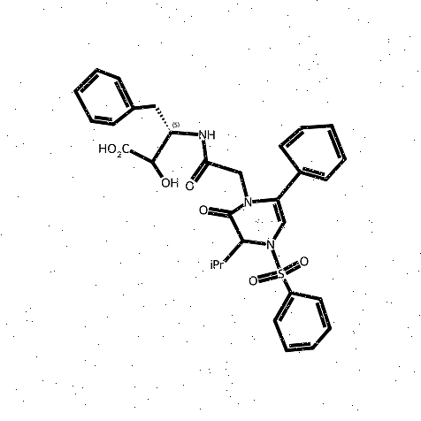 CC(C)C1C(=O)N(CC(=O)N[C@@H](Cc2ccccc2)C(O)C(=O)O)C(c2ccccc2)=CN1S(=O)(=O)c1ccccc1